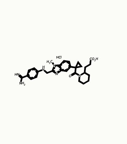 Cl.Cn1c(CNc2ccc(C(=N)N)cc2)nc2cc(C3(C(=O)N4CCCCC4CCC(=O)O)CC3)ccc21